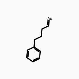 [Au]=[CH]CCCc1ccccc1